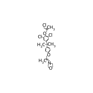 C[C@H](CCl)COc1c(Cl)cc(C(C)(C)c2ccc(OC[C@@H](C)CN3CCOCC3)cc2)cc1Cl